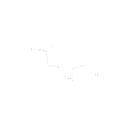 CCc1cc(CC(C)C)on1